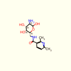 Cc1ccc(C(=O)NC[C@H]2OC(O)[C@H](N)[C@@H](O)[C@H]2O)c(C)n1